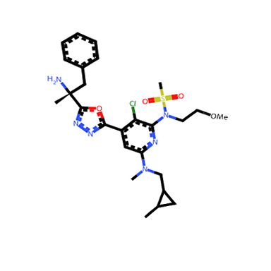 COCCN(c1nc(N(C)CC2CC2C)cc(-c2nnc([C@](C)(N)Cc3ccccc3)o2)c1Cl)S(C)(=O)=O